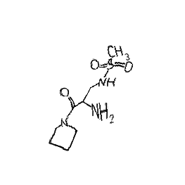 CS(=O)(=O)NCC(N)C(=O)N1CCCC1